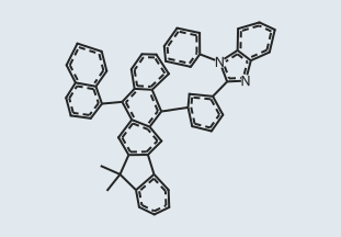 CC1(C)c2ccccc2-c2cc3c(-c4cccc(-c5nc6ccccc6n5-c5ccccc5)c4)c4ccccc4c(-c4cccc5ccccc45)c3cc21